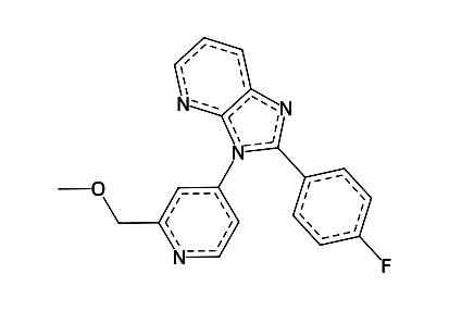 COCc1cc(-n2c(-c3ccc(F)cc3)nc3cccnc32)ccn1